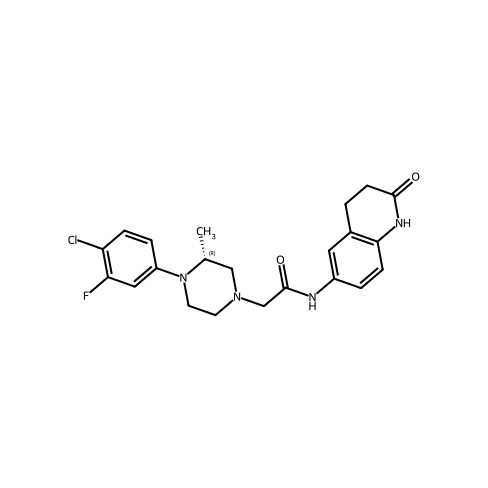 C[C@@H]1CN(CC(=O)Nc2ccc3c(c2)CCC(=O)N3)CCN1c1ccc(Cl)c(F)c1